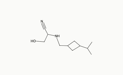 CC(C)C1CC(CNC(C#N)CO)C1